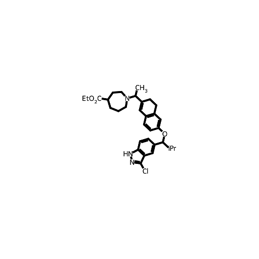 CCOC(=O)C1CCCN(C(C)C2=Cc3ccc(OC(c4ccc5[nH]nc(Cl)c5c4)C(C)C)cc3CC2)CC1